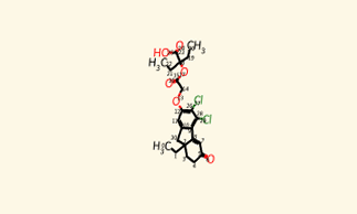 CCC12CCC(=O)C=C1c1c(cc(OCC(=O)OC(CC)(CC)C(=O)O)c(Cl)c1Cl)C2